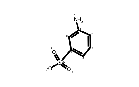 Nc1cccc(S([O])(=O)=O)c1